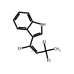 CC/C(=C/C(C)(CC)CC)c1c[nH]c2ccccc12